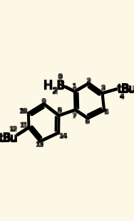 Bc1cc(C(C)(C)C)ccc1-c1ccc(C(C)(C)C)cc1